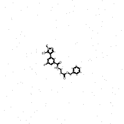 CCc1c(-c2cc(F)cc(C(=O)NCCC(=O)OCc3ccccc3)c2)cnn1C